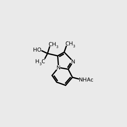 CC(=O)Nc1cccn2c(C(C)(C)O)c(C)nc12